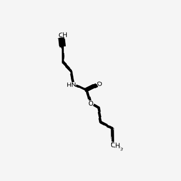 C#CCCNC(=O)OCCCC